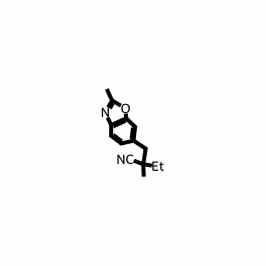 CCC(C)(C#N)Cc1ccc2nc(C)oc2c1